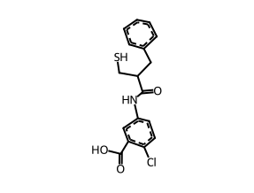 O=C(O)c1cc(NC(=O)C(CS)Cc2ccccc2)ccc1Cl